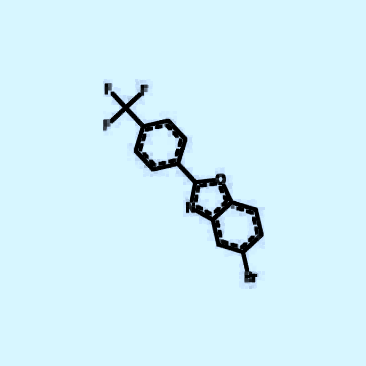 FC(F)(F)c1ccc(-c2nc3cc(Br)ccc3o2)cc1